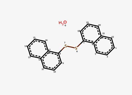 O.c1ccc2c(SSc3cccc4ccccc34)cccc2c1